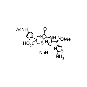 CON=C(C(=O)NC1C(=O)N2CC(C(=O)O)(c3ncc(NC(C)=O)s3)CS[C@H]12)c1csc(N)n1.[NaH]